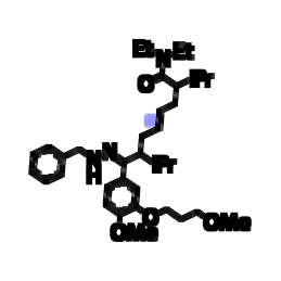 CCN(CC)C(=O)C(C/C=C/CC(C(=NNCc1ccccc1)c1ccc(OC)c(OCCCOC)c1)C(C)C)C(C)C